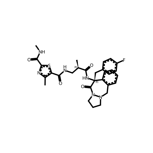 CNC(=O)c1nc(C)c(C(=O)NC[C@@H](C)C(=O)N[C@@]2(Cc3ccc(F)cc3)C(=O)N3CCCN3Cc3ccccc32)s1